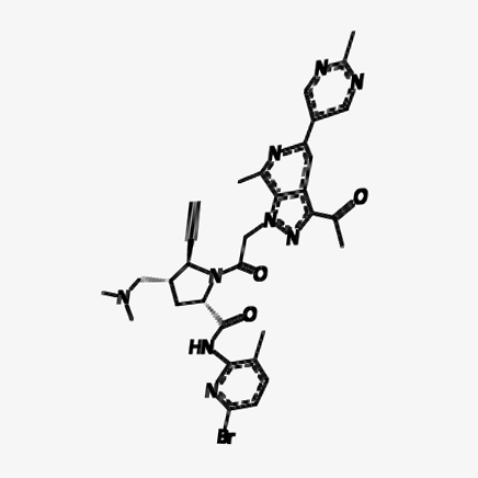 C#C[C@@H]1[C@@H](CN(C)C)C[C@@H](C(=O)Nc2nc(Br)ccc2C)N1C(=O)Cn1nc(C(C)=O)c2cc(-c3cnc(C)nc3)nc(C)c21